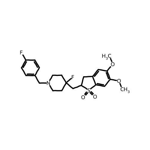 COc1cc2c(cc1OC)S(=O)(=O)C(CC1(F)CCN(Cc3ccc(F)cc3)CC1)C2